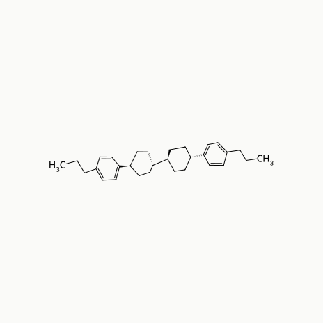 CCCc1ccc([C@H]2CC[C@H]([C@H]3CC[C@H](c4ccc(CCC)cc4)CC3)CC2)cc1